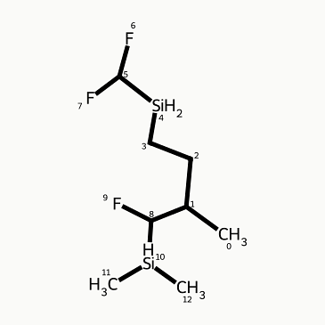 CC(CC[SiH2]C(F)F)C(F)[SiH](C)C